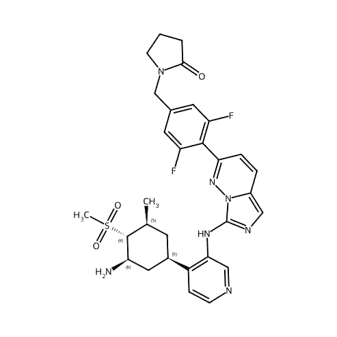 C[C@H]1C[C@@H](c2ccncc2Nc2ncc3ccc(-c4c(F)cc(CN5CCCC5=O)cc4F)nn23)C[C@@H](N)[C@@H]1S(C)(=O)=O